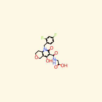 O=C(O)CNC(=O)c1c(O)c2c(n(Cc3ccc(F)cc3F)c1=O)CCOC2